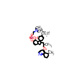 C[C@@H](COc1ccnc2c1[C@H](C)CCC2)CC1Cc2ccc(OP(=O)(O)OCCN(C)C)cc2C12CCC(C(=O)O)CC2